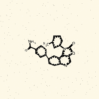 NC(=O)c1ccc(-c2ccc3ncc4oc(=O)n(-c5cccc(C(F)(F)F)c5)c4c3c2)cc1